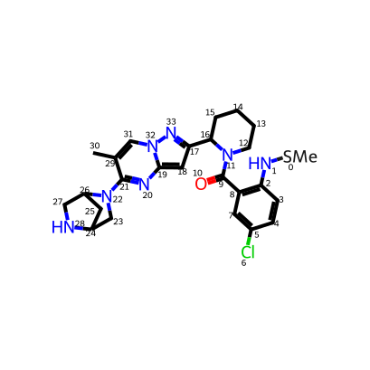 CSNc1ccc(Cl)cc1C(=O)N1CCCCC1c1cc2nc(N3CC4CC3CN4)c(C)cn2n1